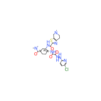 CN1CCc2nc(C(=O)N[C@@H]3C[C@@H](C(=O)N(C)C)CC[C@H]3NC(=O)C(=O)NNc3ccc(Cl)cn3)sc2C1